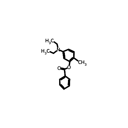 CCN(CC)c1ccc(C)c(OC(=O)c2ccccc2)c1